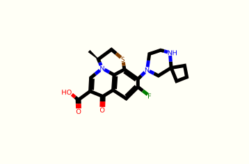 C[C@H]1CSc2c(N3CCNC4(CCC4)C3)c(F)cc3c(=O)c(C(=O)O)cn1c23